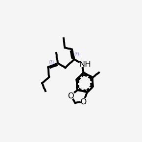 CC/C=C(\C/C(C)=C\CCC)Nc1cc2c(cc1C)OCO2